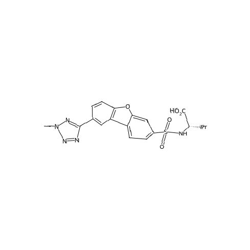 CC(C)[C@H](NS(=O)(=O)c1ccc2c(c1)oc1ccc(-c3nnn(C)n3)cc12)C(=O)O